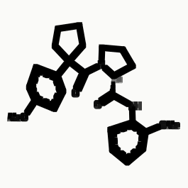 COc1ccc(C2(C(=O)N3CCC[C@@H]3C(=O)Nc3ccccc3OC)CCCC2)cc1